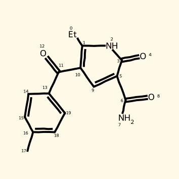 CCc1[nH]c(=O)c(C(N)=O)cc1C(=O)c1ccc(C)cc1